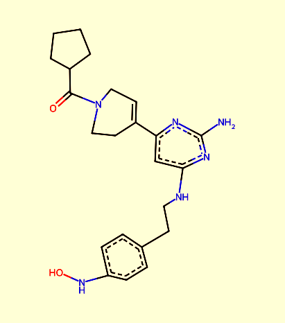 Nc1nc(NCCc2ccc(NO)cc2)cc(C2=CCN(C(=O)C3CCCC3)CC2)n1